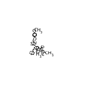 COc1ccc(OCc2nc(-c3cc(C(=O)NCC(C)C)c(C)n3CC3CCCO3)cs2)cc1